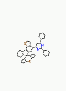 c1ccc(-c2cc(-c3cc4c(c5sccc35)-c3ccccc3C43c4ccccc4Sc4ccccc43)nc(-c3ccccc3)n2)cc1